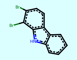 Brc1ccc2c([nH]c3ccccc32)c1Br